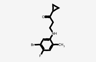 Cc1cc(F)c(Br)cc1NCCC(=O)C1CC1